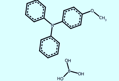 COc1ccc(N(c2ccccc2)c2ccccc2)cc1.OB(O)O